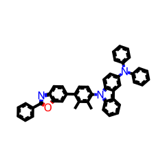 Cc1c(-c2ccc3nc(-c4ccccc4)oc3c2)ccc(-n2c3ccccc3c3cc(N(c4ccccc4)c4ccccc4)ccc32)c1C